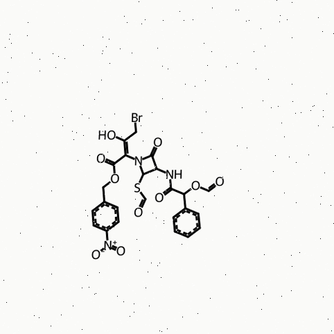 O=COC(C(=O)NC1C(=O)N(C(C(=O)OCc2ccc([N+](=O)[O-])cc2)=C(O)CBr)C1SC=O)c1ccccc1